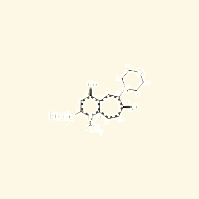 CCOC(=O)c1cc(=O)c2cc(N3CCOCC3)c(=O)ccc2n1C